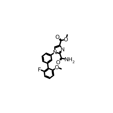 COC(=O)c1cn(-c2cccc(-c3c(F)cccc3OC)c2)c(C(N)=O)n1